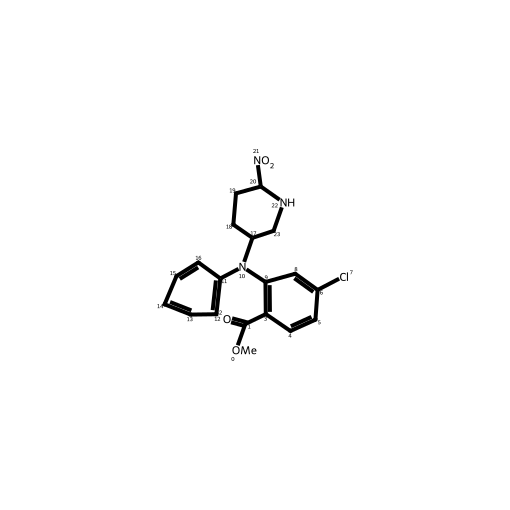 COC(=O)c1ccc(Cl)cc1N(c1ccccc1)C1CCC([N+](=O)[O-])NC1